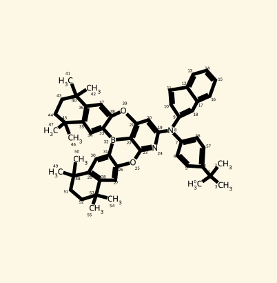 CC(C)(C)c1ccc(N(c2ccc3ccccc3c2)c2cc3c4c(n2)Oc2cc5c(cc2B4c2cc4c(cc2O3)C(C)(C)CCC4(C)C)C(C)(C)CCC5(C)C)cc1